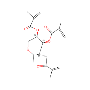 C=C(C)C(=O)C[C@@H]1C(C)OC[C@@H](OC(=O)C(=C)C)[C@H]1OC(=O)C(=C)C